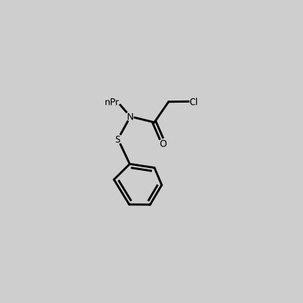 CCCN(Sc1ccccc1)C(=O)CCl